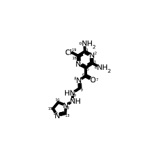 Nc1nc(N)c(C(=O)N=CNNN2C=NCC2)nc1Cl